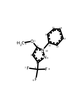 [CH2]Oc1cc(C(F)(F)F)nn1-c1ccccc1